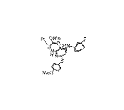 COC(=O)[C@@H](CC(C)C)Nc1nc(Nc2cccc(F)c2)cc(Sc2ccc(OC)cc2)n1